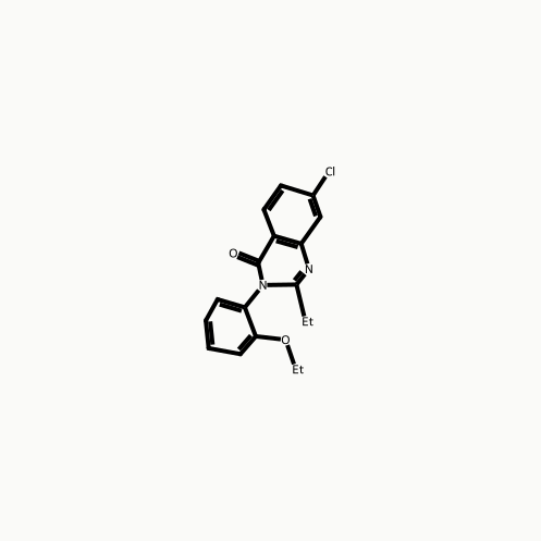 CCOc1ccccc1-n1c(CC)nc2cc(Cl)ccc2c1=O